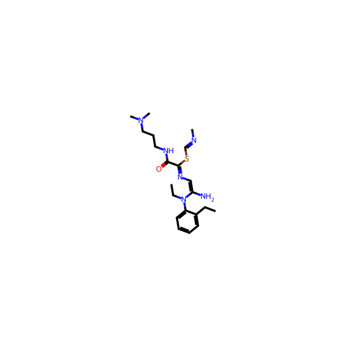 CCc1ccccc1N(CC)/C(N)=C\N=C(/S/C=N/C)C(=O)NCCCN(C)C